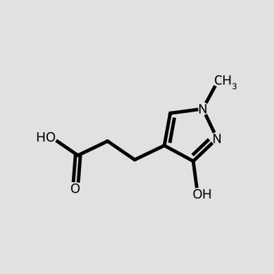 Cn1cc(CCC(=O)O)c(O)n1